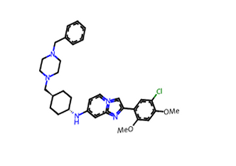 COc1cc(OC)c(-c2cn3ccc(N[C@H]4CC[C@H](CN5CCN(Cc6ccccc6)CC5)CC4)cc3n2)cc1Cl